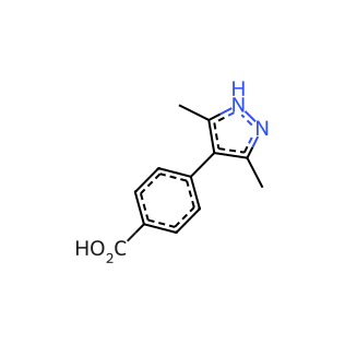 Cc1n[nH]c(C)c1-c1ccc(C(=O)O)cc1